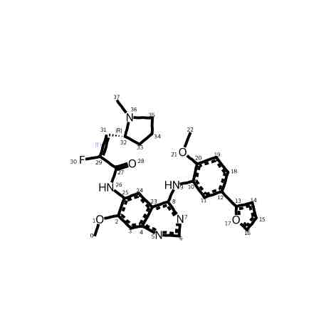 COc1cc2ncnc(Nc3cc(-c4ccco4)ccc3OC)c2cc1NC(=O)/C(F)=C\[C@H]1CCCN1C